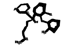 Cc1ccccc1Oc1c(Cl)cccc1[C@](O)(CCCNC(=O)O)[C@@H]1CCCNC1